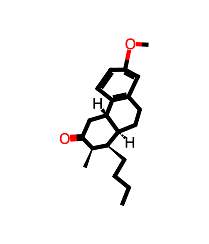 CCCC[C@@H]1[C@@H]2CCc3cc(OC)ccc3[C@H]2CC(=O)[C@@H]1C